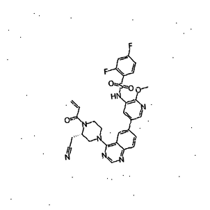 C=CC(=O)N1CCN(c2ncnc3ccc(-c4cnc(OC)c(NS(=O)(=O)c5ccc(F)cc5F)c4)cc23)C[C@@H]1CC#N